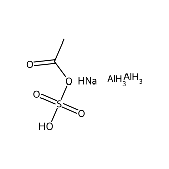 CC(=O)OS(=O)(=O)O.[AlH3].[AlH3].[NaH]